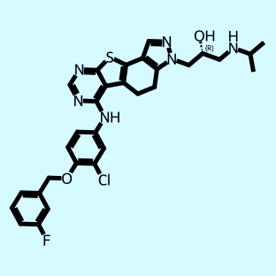 CC(C)NC[C@@H](O)Cn1ncc2c1CCc1c-2sc2ncnc(Nc3ccc(OCc4cccc(F)c4)c(Cl)c3)c12